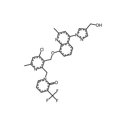 Cc1cc(Cl)c(COc2cccc3c(-n4cc(CO)cn4)cc(C)nc23)c(Cn2cccc(C(F)(F)F)c2=O)n1